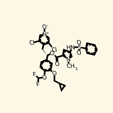 Cn1cc(NS(=O)(=O)c2ccccc2)cc1C(=O)O[C@@H](Cc1c(Cl)c[n+]([O-])cc1Cl)c1ccc(OC(F)F)c(OCC2CC2)c1